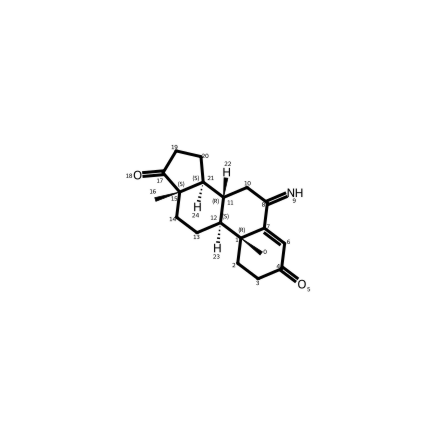 C[C@]12CCC(=O)C=C1C(=N)C[C@@H]1[C@@H]2CC[C@]2(C)C(=O)CC[C@@H]12